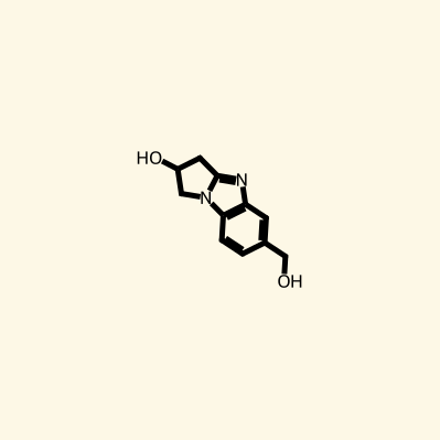 OCc1ccc2c(c1)nc1n2CC(O)C1